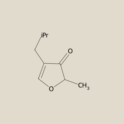 CC(C)CC1=COC(C)C1=O